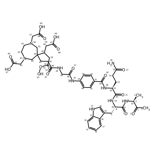 CC(=O)[C@H](C)NC(=O)[C@H](Cc1c[nH]c2ccccc12)NC(=O)[C@H](CCC(N)=O)NC(=O)c1ccc(NC(=O)CNC(=O)CCC2(C(CC(=O)O)CC(=O)OO)CN(CC(=O)O)CCN(CC(=O)O)C2)cc1